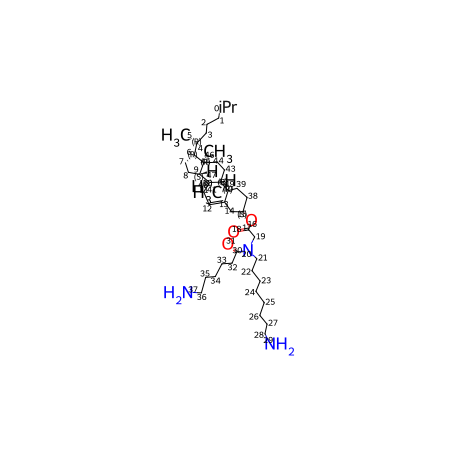 CC(C)CCC[C@@H](C)[C@H]1CC[C@H]2[C@@H]3CC=C4C[C@@H](OC(=O)CN(CCCCCCCCN)C(=O)CCCCCN)CC[C@]4(C)[C@H]3CC[C@]12C